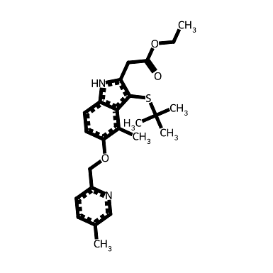 CCOC(=O)Cc1[nH]c2ccc(OCc3ccc(C)cn3)c(C)c2c1SC(C)(C)C